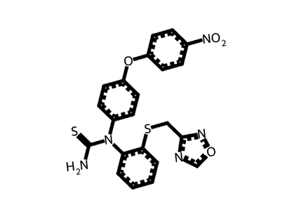 NC(=S)N(c1ccc(Oc2ccc([N+](=O)[O-])cc2)cc1)c1ccccc1SCc1ncon1